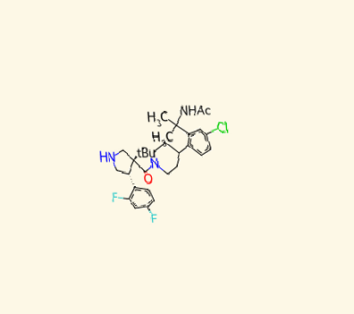 CC(=O)NC(C)(C)c1cc(Cl)ccc1C1CCN(C(=O)[C@@]2(C(C)(C)C)CNC[C@H]2c2ccc(F)cc2F)CC1